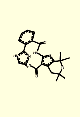 CC1(C)Cc2c(sc(NC(=O)c3ccccc3-c3ncc[nH]3)c2C(N)=O)C(C)(C)O1